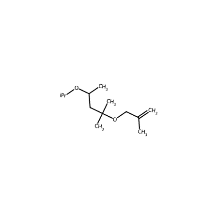 C=C(C)COC(C)(C)CC(C)OC(C)C